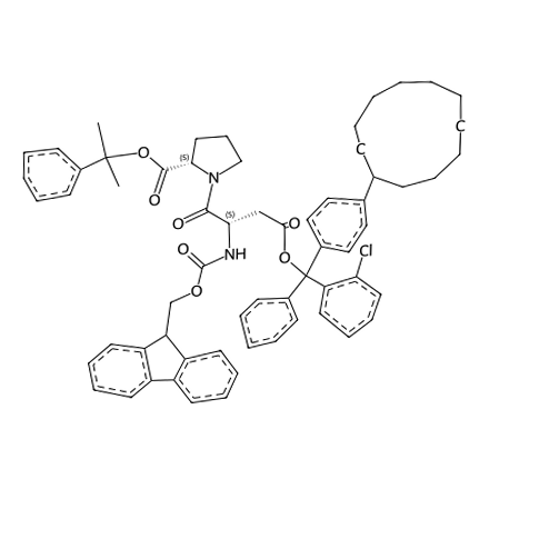 CC(C)(OC(=O)[C@@H]1CCCN1C(=O)[C@H](CC(=O)OC(c1ccccc1)(c1ccc(C2CCCCCCCCCC2)cc1)c1ccccc1Cl)NC(=O)OCC1c2ccccc2-c2ccccc21)c1ccccc1